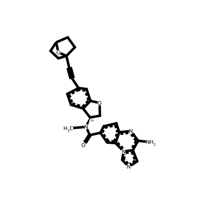 CN(C(=O)c1ccc2nc(N)c3cncn3c2c1)[C@@H]1COc2cc(C#CC34CCC(CC3)O4)ccc21